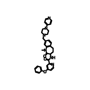 CN1C(=O)C(NC(=O)c2cc(Oc3ccccc3)ccn2)CCc2ccc(CN3CCN(c4ccncc4)CC3)cc21